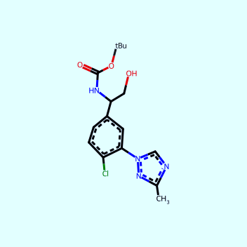 Cc1ncn(-c2cc(C(CO)NC(=O)OC(C)(C)C)ccc2Cl)n1